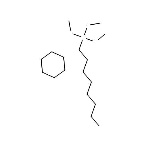 C1CCCCC1.CCCCCCCC[Si](OC)(OC)OC